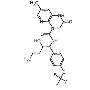 CCCC(O)C(NC(=O)N1CC(=O)Nc2cc(C)cnc21)c1ccc(OC(F)(F)F)cc1